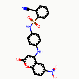 N#Cc1ccccc1S(=O)(=O)Nc1ccc(Nc2cc(=O)oc3ccc([N+](=O)[O-])cc23)cc1